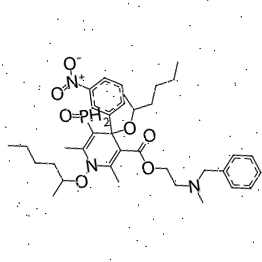 CCCCC(C)ON1C(C)=C([PH2]=O)C(OC(C)CCCC)(c2cccc([N+](=O)[O-])c2)C(C(=O)OCCN(C)Cc2ccccc2)=C1C